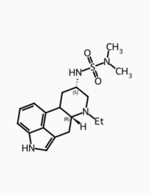 CCN1C[C@@H](NS(=O)(=O)N(C)C)CC2c3cccc4[nH]cc(c34)C[C@H]21